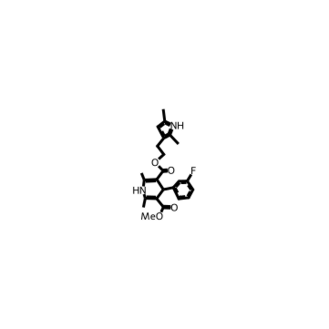 COC(=O)C1=C(C)NC(C)=C(C(=O)OCCc2cc(C)[nH]c2C)C1c1cccc(F)c1